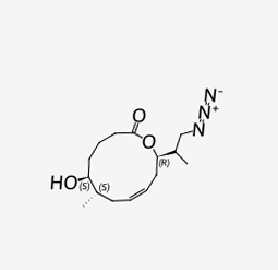 CC(CN=[N+]=[N-])[C@H]1CC=CC[C@H](C)[C@@H](O)CCCC(=O)O1